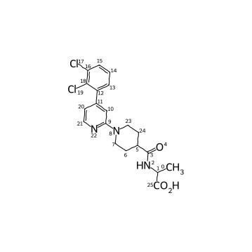 CC(NC(=O)C1CCN(c2cc(-c3cccc(Cl)c3Cl)ccn2)CC1)C(=O)O